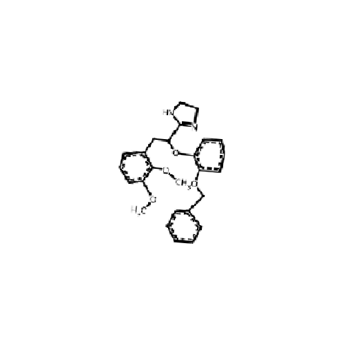 COc1cccc(CC(Oc2ccccc2OCc2ccccc2)C2=NCCN2)c1OC